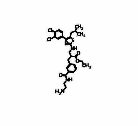 CCOC(=O)C(CNc1nc(-c2ccc(Cl)c(Cl)c2)c(CC(C)C)s1)Cc1cccc(C(=O)NCCN)c1